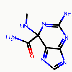 CNC1(C(N)=O)N=C(N)N=C2N=CN=C21